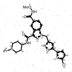 CONC(=O)c1ccc2c(c1)c(C(=O)NC1CCN(C(C)C)CC1)nn2Cc1cc(-c2ccc(Cl)s2)on1